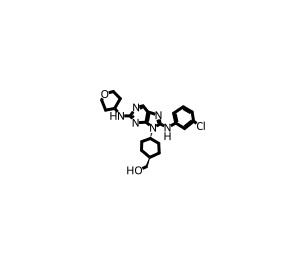 OC[C@H]1CC[C@H](n2c(Nc3cccc(Cl)c3)nc3cnc(NC4CCOCC4)nc32)CC1